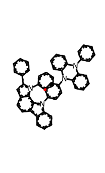 c1ccc(-c2cc3ccc4c5ccccc5n(-c5ccc(N6c7ccccc7N(c7ccccc7)c7ccccc76)cc5)c4c3n2-c2ccccc2)cc1